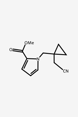 COC(=O)c1cccn1CC1(CC#N)CC1